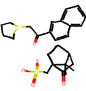 CC1(C)C2CCC1(CS(=O)(=O)[O-])C(=O)C2.O=C(C[S+]1CCCC1)c1ccc2ccccc2c1